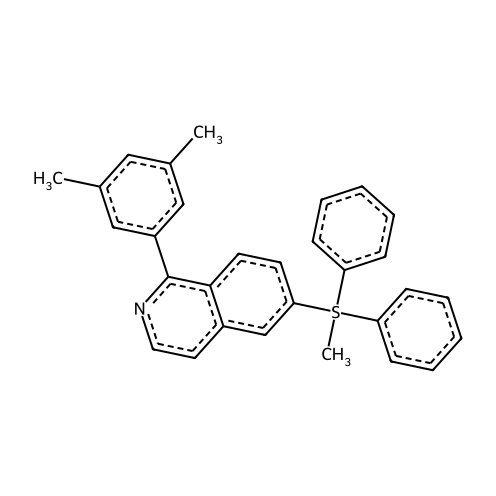 Cc1cc(C)cc(-c2nccc3cc(S(C)(c4ccccc4)c4ccccc4)ccc23)c1